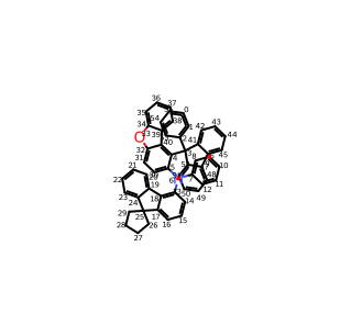 C1=C=C(C2(c3c(N(c4ccccc4)c4cccc5c4-c4ccccc4C54CCCC4)ccc4oc5ccccc5c34)c3ccccc3-c3ccccc32)C=CC=1